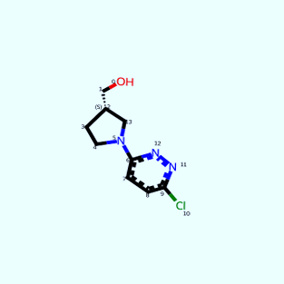 OC[C@H]1CCN(c2ccc(Cl)nn2)C1